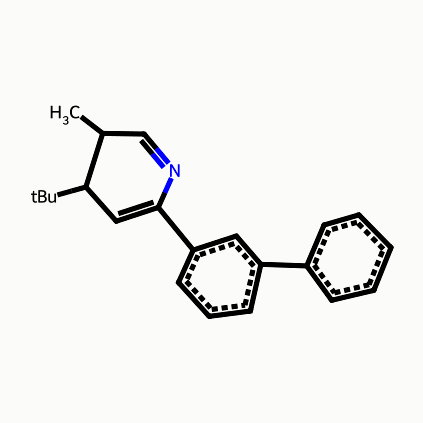 CC1C=NC(c2cccc(-c3ccccc3)c2)=CC1C(C)(C)C